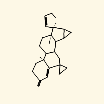 C[C@]12CCC3C(CC4(CC4)C4=CC(=O)CC[C@@H]43)C1C1CC1[C@@]21C=CCO1